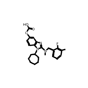 Cc1cccc(CN(C)c2nc3cc(OC(=O)O)ccc3n2C2CCCCCC2)c1F